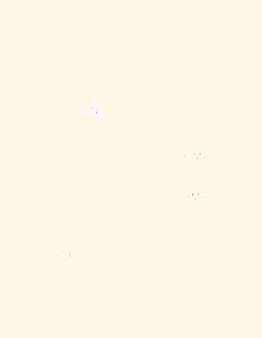 CCCCOc1ccc2cc(CN3C(=O)CCC3C)c3cc(OC)c(OC)cc3c2c1